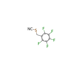 N#CSCc1c(F)c(F)c(F)c(F)c1F